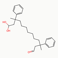 CC(CC=O)(CCCCCCCC(C)(CC(O)O)c1ccccc1)c1ccccc1